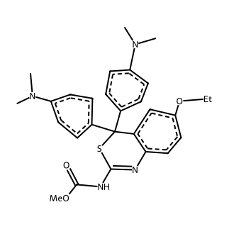 CCOc1ccc2c(c1)C(c1ccc(N(C)C)cc1)(c1ccc(N(C)C)cc1)SC(NC(=O)OC)=N2